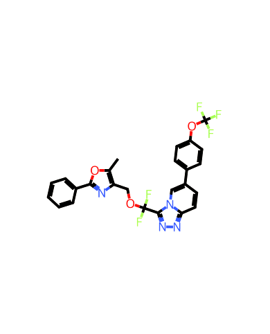 Cc1oc(-c2ccccc2)nc1COC(F)(F)c1nnc2ccc(-c3ccc(OC(F)(F)F)cc3)cn12